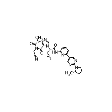 C[C@@H]1CCCN1c1ncc(-c2cccc(NC(=O)[C@H](C)n3cnc4c3c(=O)n(CC#N)c(=O)n4C)n2)cn1